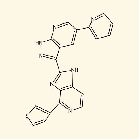 c1ccc(-c2cnc3[nH]nc(-c4nc5c(-c6ccsc6)nccc5[nH]4)c3c2)nc1